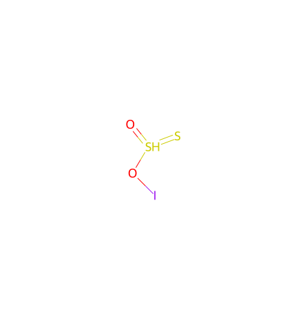 O=[SH](=S)OI